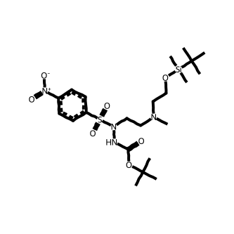 CN(CCO[Si](C)(C)C(C)(C)C)CCN(NC(=O)OC(C)(C)C)S(=O)(=O)c1ccc([N+](=O)[O-])cc1